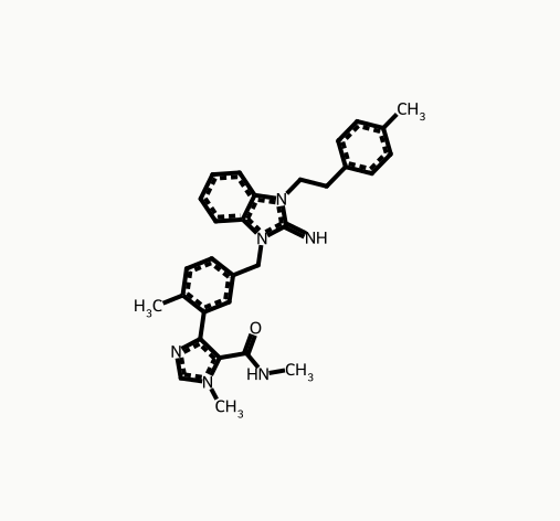 CNC(=O)c1c(-c2cc(Cn3c(=N)n(CCc4ccc(C)cc4)c4ccccc43)ccc2C)ncn1C